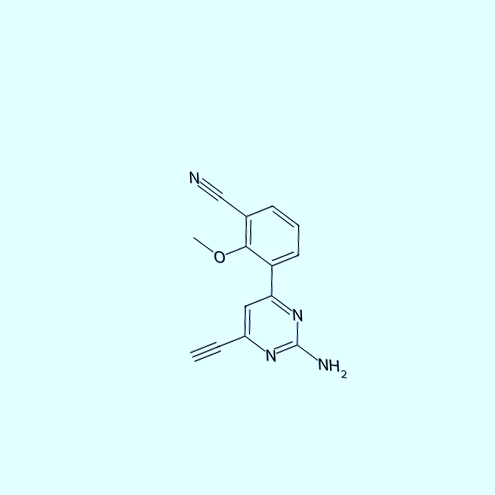 C#Cc1cc(-c2cccc(C#N)c2OC)nc(N)n1